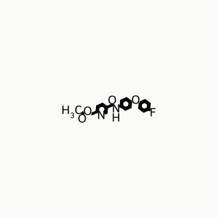 CC(=O)OCc1ccc(C(=O)Nc2ccc(Oc3ccc(F)cc3)cc2)cn1